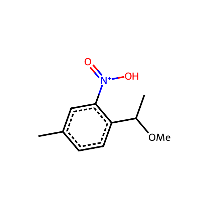 COC(C)c1ccc(C)cc1[N+](=O)O